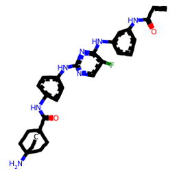 C=CC(=O)Nc1cccc(Nc2nc(Nc3ccc(NC(=O)C45CCC(N)(CC4)CC5)cc3)ncc2F)c1